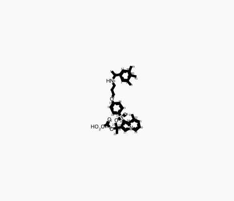 Cc1cc(C(C)NCCCOc2ccc(S(=O)(=O)c3c(C(C)(C)OC(=O)C(=O)O)cn4cccc(C)c34)cc2)cc(C)c1C